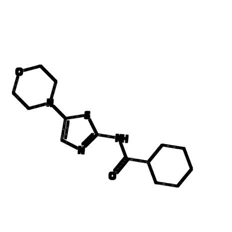 O=C(Nc1ncc(N2CCOCC2)s1)C1CCCCC1